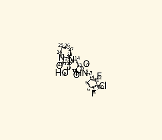 O=C(NCc1ccc(F)c(Cl)c1F)c1cn2c(c(O)c1=O)C(=O)N1CC=CCC2C1